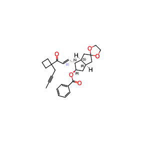 CC#CCC1(C(=O)/C=C/[C@@H]2[C@H]3CC4(C[C@H]3C[C@H]2OC(=O)c2ccccc2)OCCO4)CCC1